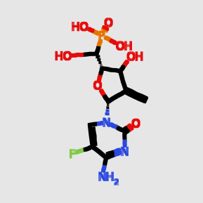 C=C1C(O)[C@@H](C(O)P(=O)(O)O)O[C@H]1n1cc(F)c(N)nc1=O